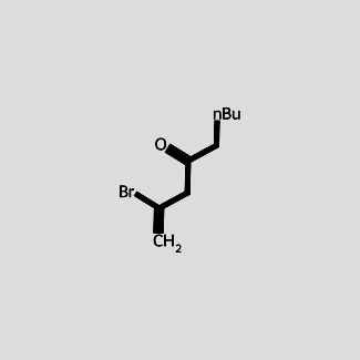 C=C(Br)CC(=O)CCCCC